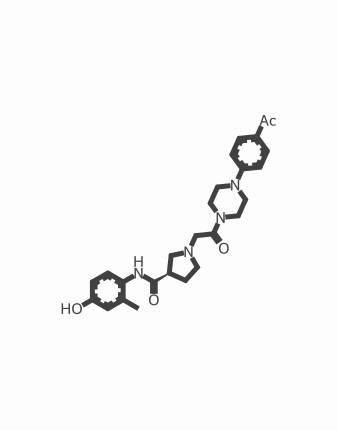 CC(=O)c1ccc(N2CCN(C(=O)CN3CC[C@@H](C(=O)Nc4ccc(O)cc4C)C3)CC2)cc1